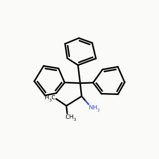 CC(C)C(N)C(c1ccccc1)(c1ccccc1)c1ccccc1